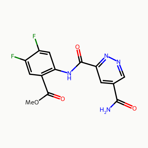 COC(=O)c1cc(F)c(F)cc1NC(=O)c1cc(C(N)=O)cnn1